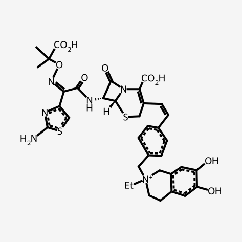 CC[N+]1(Cc2ccc(/C=C\C3=C(C(=O)O)N4C(=O)[C@@H](NC(=O)/C(=N\OC(C)(C)C(=O)O)c5csc(N)n5)[C@H]4SC3)cc2)CCc2cc(O)c(O)cc2C1